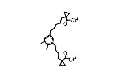 Cc1cc(CCCCCC2(C(=O)O)CC2)cc(CCCCC2(C(=O)O)CC2)c1C